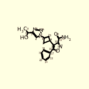 CC(O)c1cn(C2CC(c3c(C(N)=O)noc3-c3ccccc3)C2)nn1